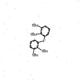 CC(C)(C)c1cccc([I+]c2cccc(C(C)(C)C)c2C(C)(C)C)c1C(C)(C)C